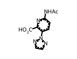 CC(=O)Nc1ccc(-n2nccn2)c(C(=O)O)n1